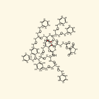 O=C(CN(CC(=O)NC(COC(COCc1ccccc1)COCc1ccccc1)COC(COCc1ccccc1)COCc1ccccc1)C(=O)CCC(=O)ON1C(=O)CCC1=O)NC(COC(COCc1ccccc1)COCc1ccccc1)COC(COCc1ccccc1)COCc1ccccc1